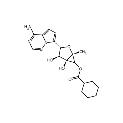 C[C@]12O[C@@H](c3ccc4c(N)ncnn34)[C@H](O)[C@@]1(O)C2OC(=O)C1CCCCC1